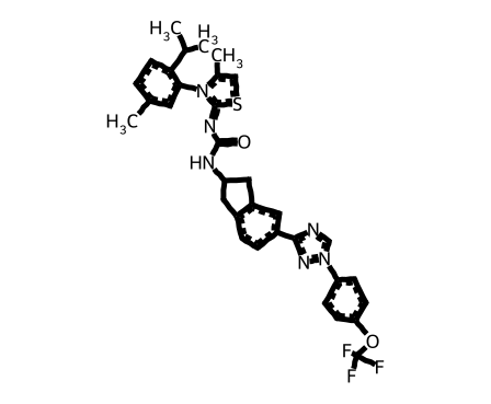 Cc1ccc(C(C)C)c(-n2c(C)cs/c2=N\C(=O)NC2Cc3ccc(-c4ncn(-c5ccc(OC(F)(F)F)cc5)n4)cc3C2)c1